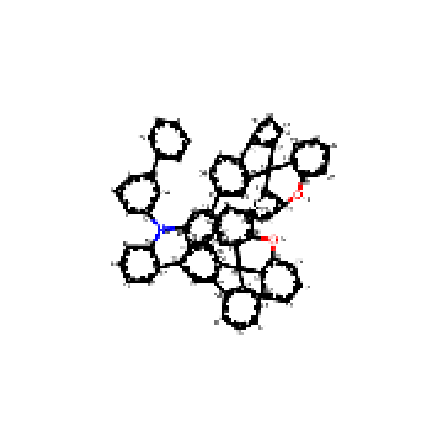 c1ccc(-c2cccc(N(c3cccc(-c4ccc5c(c4)C4(c6ccccc6Oc6ccccc64)c4ccccc4-5)c3)c3ccccc3-c3ccc4c(c3)-c3ccccc3C43c4ccccc4Oc4ccccc43)c2)cc1